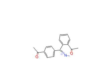 C/N=C(/c1ccc(C(C)=O)cc1)c1ccccc1C(C)=O